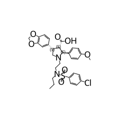 CCCN(CCN1C[C@H](c2ccc3c(c2)OCO3)[C@H](C(=O)O)[C@H]1c1ccc(OC)cc1)S(=O)(=O)c1ccc(Cl)cc1